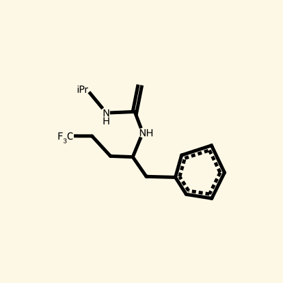 C=C(NC(C)C)NC(CCC(F)(F)F)Cc1ccccc1